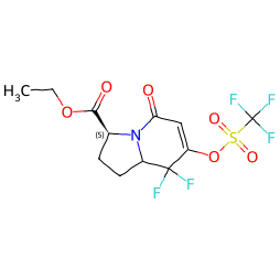 CCOC(=O)[C@@H]1CCC2N1C(=O)C=C(OS(=O)(=O)C(F)(F)F)C2(F)F